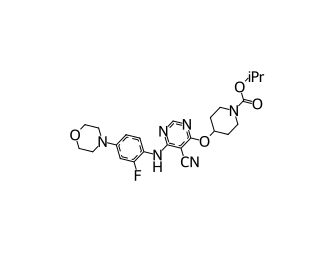 CC(C)OC(=O)N1CCC(Oc2ncnc(Nc3ccc(N4CCOCC4)cc3F)c2C#N)CC1